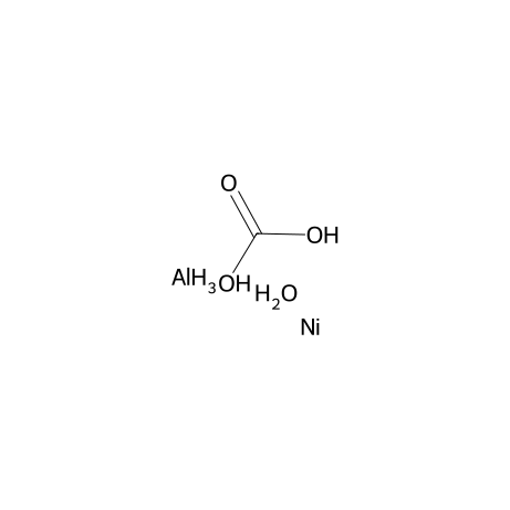 O.O=C(O)O.[AlH3].[Ni]